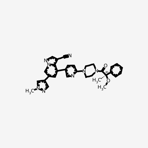 CO[C@@](C)(C(=O)N1CCN(c2ccc(-c3cc(-c4cnn(C)c4)cn4ncc(C#N)c34)cn2)CC1)c1ccccc1